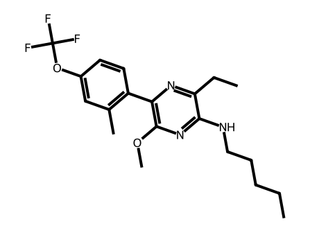 CCCCCNc1nc(OC)c(-c2ccc(OC(F)(F)F)cc2C)nc1CC